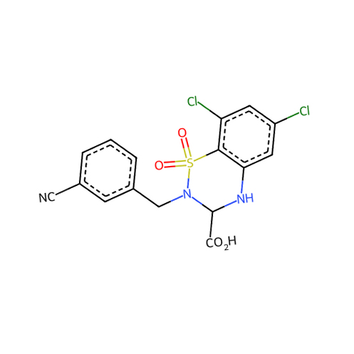 N#Cc1cccc(CN2C(C(=O)O)Nc3cc(Cl)cc(Cl)c3S2(=O)=O)c1